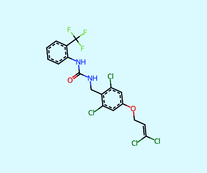 O=C(NCc1c(Cl)cc(OCC=C(Cl)Cl)cc1Cl)Nc1ccccc1C(F)(F)F